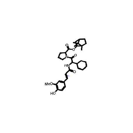 COc1cc(/C=C/C(=O)NC(C(=O)N2CCCC2C(=O)OC2CC3CCC2(C)C3(C)C)C2CCCCC2)ccc1O